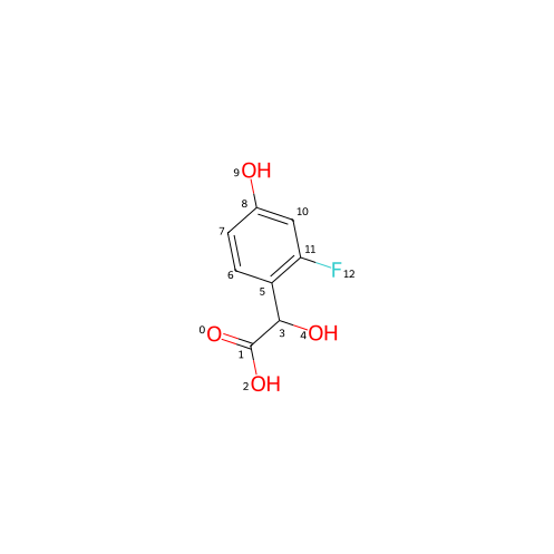 O=C(O)C(O)c1ccc(O)cc1F